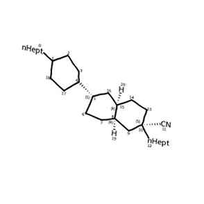 CCCCCCCC1CCC([C@H]2CC[C@@H]3C[C@](C#N)(CCCCCCC)CC[C@@H]3C2)CC1